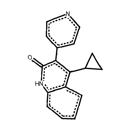 O=c1[nH]c2ccccc2c(C2CC2)c1-c1ccncc1